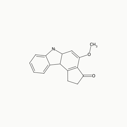 COC1=CC2[N]c3ccccc3C2C2=C1C(=O)CC2